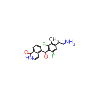 Cc1c(CCN)cc(F)c(C(=O)c2cccc3c(=O)[nH]ccc23)c1F